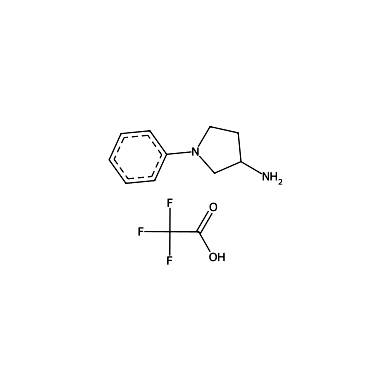 NC1CCN(c2ccccc2)C1.O=C(O)C(F)(F)F